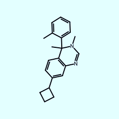 Cc1ccccc1C1(C)c2ccc(C3CCC3)cc2N=CN1C